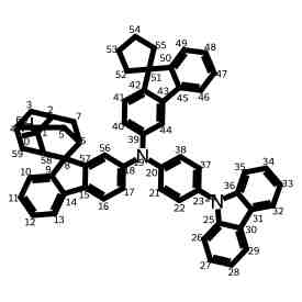 C[C@H]1C2CC3CC(C2)C2(c4ccccc4-c4ccc(N(c5ccc(-n6c7ccccc7c7ccccc76)cc5)c5ccc6c(c5)-c5ccccc5C65CCCC5)cc42)C1C3